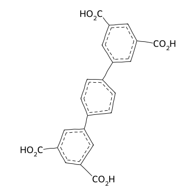 O=C(O)c1cc(C(=O)O)cc(-c2ccc(-c3cc(C(=O)O)cc(C(=O)O)c3)cc2)c1